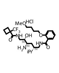 COCCCCOc1ccccc1C(=O)NC[C@@H](C[C@H](N)[C@@H](O)CNC(=O)C1(C(F)(F)F)CCC1)C(C)C.Cl